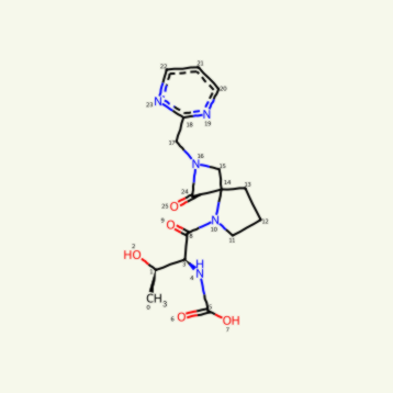 C[C@@H](O)[C@H](NC(=O)O)C(=O)N1CCCC12CN(Cc1ncccn1)C2=O